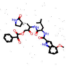 COc1cccc2[nH]c(C(=O)NC(CC(C)C)C(=O)NC(C[C@@H]3CCNC3=O)C(=O)COC(=O)C(=O)c3ccccc3)cc12